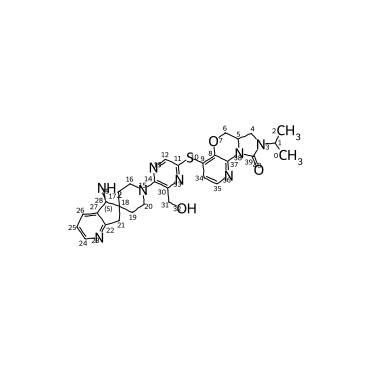 CC(C)N1CC2COc3c(Sc4cnc(N5CCC6(CC5)Cc5ncccc5[C@H]6N)c(CO)n4)ccnc3N2C1=O